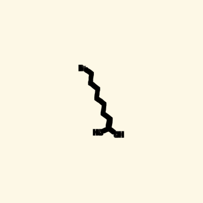 OC(O)=CCCCCCCBr